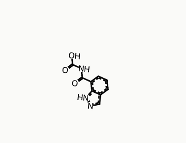 O=C(O)NC(=O)c1cccc2cn[nH]c12